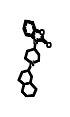 O=c1oc2ccccc2n1C1CCN(C2CCC3CCCCC3C2)CC1